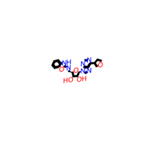 O[C@@H]1[C@H](O)[C@H](n2cnc3c(C4CCOC4)ncnc32)O[C@@H]1CNc1nc2ccccc2o1